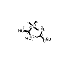 CCC(O)[N+](C)(C)C.CCCCC(CC)C(=O)O